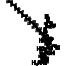 CCCCCCCCCCCCCCCCCCC[C@H](COP(=O)(O)OC[C@@H](OCC#N)[C@@H](O)[C@@H](O)c1ccc2c(N)ncnn12)OCc1cc(F)cc(C#N)c1